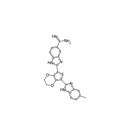 Cc1ccc2[nH]c(-c3sc(-c4nc5cc(C(=N)N)ccc5[nH]4)c4c3OCCO4)nc2c1